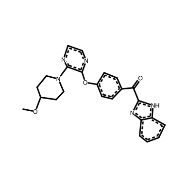 COC1CCN(c2nccnc2Oc2ccc(C(=O)c3nc4ccccc4[nH]3)cc2)CC1